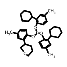 Cc1ccc(OP(Oc2ccc(C)cc2C2CCCCC2)Oc2ccc(C)cc2C2CCCCC2)c(C2CCCCC2)c1